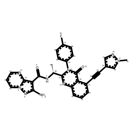 C[C@@H](NC(=O)c1c(N)nn2cccnc12)c1nc2cccc(C#Cc3cnn(C)c3)c2c(=O)n1-c1ccc(F)cc1